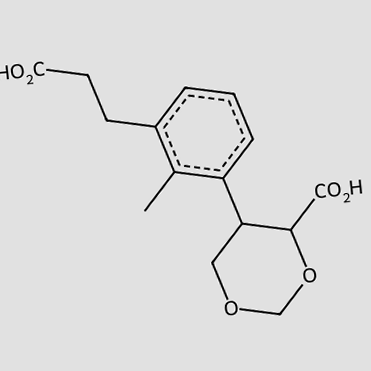 Cc1c(CCC(=O)O)cccc1C1COCOC1C(=O)O